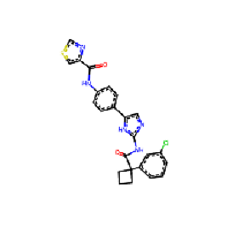 O=C(Nc1ccc(-c2cnc(NC(=O)C3(c4cccc(Cl)c4)CCC3)[nH]2)cc1)c1cscn1